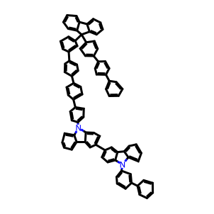 c1ccc(-c2ccc(-c3ccc(C4(c5cccc(-c6ccc(-c7ccc(-c8ccc(-n9c%10ccccc%10c%10cc(-c%11ccc%12c(c%11)c%11ccccc%11n%12-c%11cccc(-c%12ccccc%12)c%11)ccc%109)cc8)cc7)cc6)c5)c5ccccc5-c5ccccc54)cc3)cc2)cc1